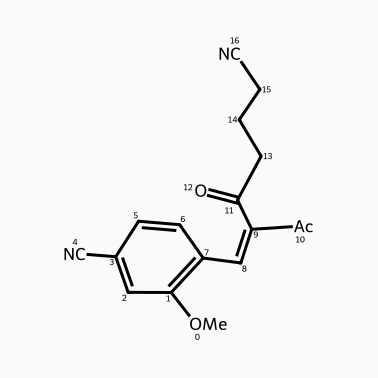 COc1cc(C#N)ccc1/C=C(/C(C)=O)C(=O)CCCC#N